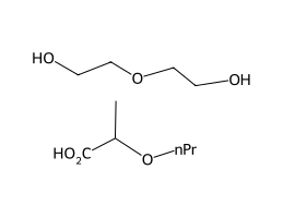 CCCOC(C)C(=O)O.OCCOCCO